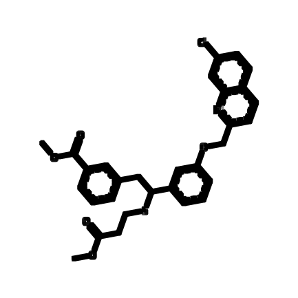 COC(=O)CCSC(Cc1cccc(C(=O)OC)c1)c1cccc(OCc2ccc3ccc(Cl)cc3n2)c1